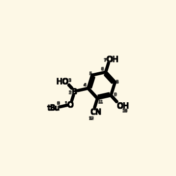 CC(C)(C)OB(O)c1cc(O)cc(O)c1C#N